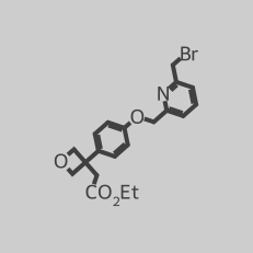 CCOC(=O)CC1(c2ccc(OCc3cccc(CBr)n3)cc2)COC1